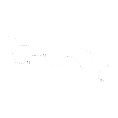 NC(=O)c1csc(C2CCN(c3cc(C(F)(F)F)ncn3)CC2)n1